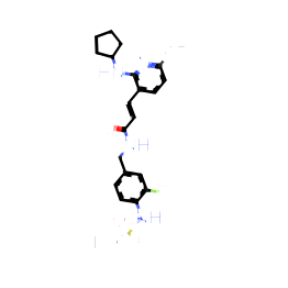 CS(=O)(=O)Nc1ccc(CNC(=O)/C=C/c2ccc(C(F)(F)F)nc2NC2CCCC2)cc1F